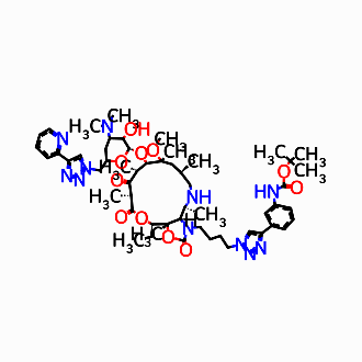 CC[C@H]1OC(=O)[C@H](C)C(=O)[C@H](C)[C@@H](O[C@@H]2OC(Cn3cc(-c4ccccn4)nn3)CC(N(C)C)C2O)[C@](C)(OC)C[C@@H](C)CN[C@H](C)[C@H]2N(CCCCn3cc(-c4cccc(NC(=O)OC(C)(C)C)c4)nn3)C(=O)O[C@]12C